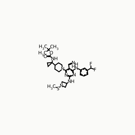 CSN1CC(Nc2nc(Nc3cccc(C(F)F)c3)c(C=N)c(N3CCC(C4(NC(=O)OC(C)(C)C)CC4)CC3)n2)C1